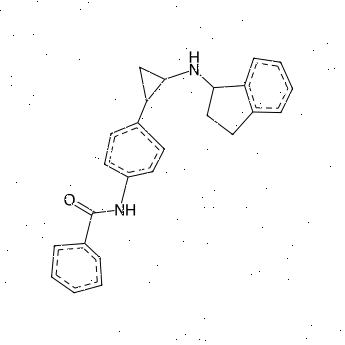 O=C(Nc1ccc(C2CC2NC2CCc3ccccc32)cc1)c1ccccc1